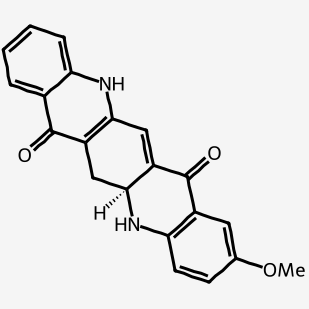 COc1ccc2c(c1)C(=O)C1=Cc3[nH]c4ccccc4c(=O)c3C[C@@H]1N2